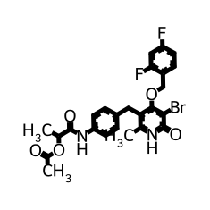 CC(=O)OC(C)C(=O)Nc1ccc(Cc2c(C)[nH]c(=O)c(Br)c2OCc2ccc(F)cc2F)cc1